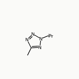 [CH2]C(C)n1nnc(C)n1